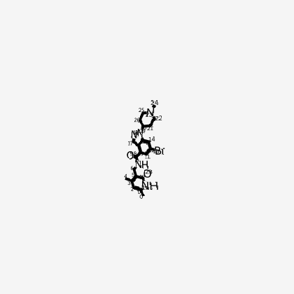 Cc1cc(C)c(CNC(=O)c2cc(Br)cc3c2cnn3C2CCN(C)CC2)c(=O)[nH]1